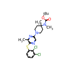 Cc1nc(N2CCC(C)(N(C)C(=O)OC(C)(C)C)CC2)cnc1Sc1cccc(Cl)c1Cl